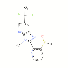 CC[S+]([O-])c1cccnc1-c1nc2cc(C(F)(F)C(F)(F)F)cnc2n1C